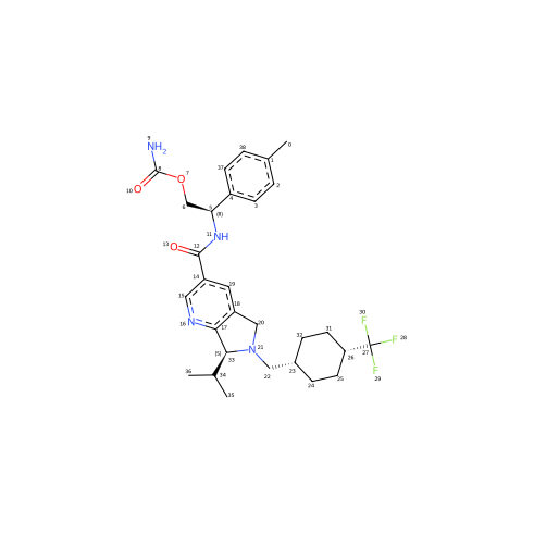 Cc1ccc([C@H](COC(N)=O)NC(=O)c2cnc3c(c2)CN(C[C@H]2CC[C@@H](C(F)(F)F)CC2)[C@H]3C(C)C)cc1